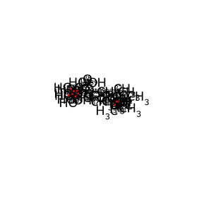 C/C=C(/C)C(=O)O[C@H]1[C@H](OC(=O)/C(C)=C\C)[C@@]2(CO)C(CC1(C)C)C1=CCC3[C@@]4(C)CC[C@H](O[C@@H]5OC(C(=O)O)[C@@H](O)C(OC6O[C@@H](CO)[C@@H](O)C6O)[C@@H]5O[C@@H]5OC(CO)[C@@H](O)C(O)[C@@H]5O)[C@@](C)(CO)C4CC[C@@]3(C)[C@]1(C)C[C@H]2O